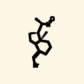 C[C@@H](N=O)[C@H]1CCC2/C(=C/Br)CCC[C@@]21C